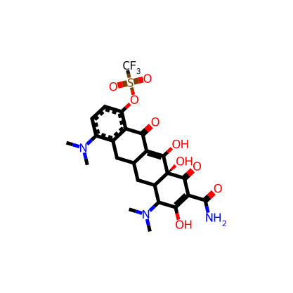 CN(C)c1ccc(OS(=O)(=O)C(F)(F)F)c2c1CC1CC3C(N(C)C)C(O)=C(C(N)=O)C(=O)[C@@]3(O)C(O)=C1C2=O